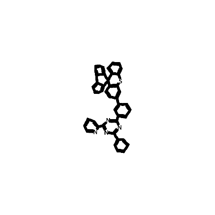 c1ccc(-c2nc(-c3cccc(-c4ccc5c(c4)Sc4ccccc4C54c5ccccc5-c5ccccc54)c3)nc(-c3ccccn3)n2)cc1